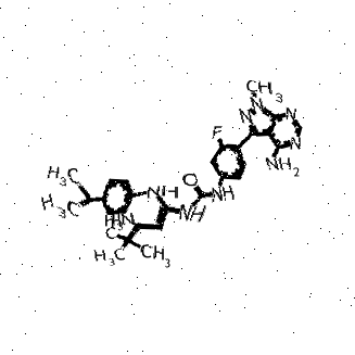 CC(C)c1ccc(N/C(=C\C(=N)C(C)(C)C)NC(=O)Nc2ccc(-c3nn(C)c4ncnc(N)c34)c(F)c2)cc1